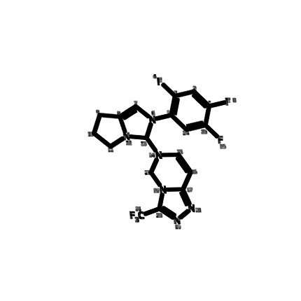 Fc1cc(F)c(N2C=C3CCCN3C2N2C=Cc3nnc(C(F)(F)F)n3C2)cc1F